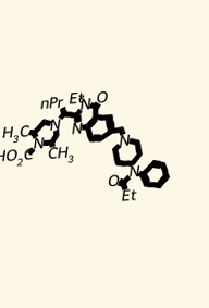 CCCC(c1nc2ccc(CN3CCC(N(C(=O)CC)c4ccccc4)CC3)cc2c(=O)n1CC)N1CC(C)N(C(=O)O)C(C)C1